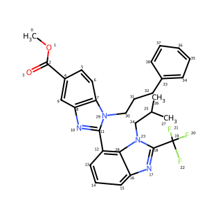 COC(=O)c1ccc2c(c1)nc(-c1cccc3nc(C(F)(F)F)n(CC(C)C)c13)n2CCCc1ccccc1